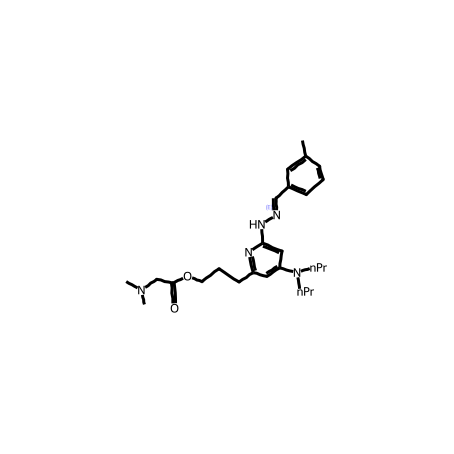 CCCN(CCC)c1cc(CCCOC(=O)CN(C)C)nc(N/N=C/c2cccc(C)c2)c1